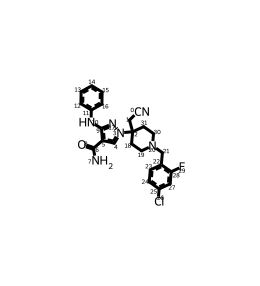 N#CCC1(n2cc(C(N)=O)c(Nc3ccccc3)n2)CCN(Cc2ccc(Cl)cc2F)CC1